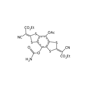 CCOC(=O)/C(C#N)=C1/Sc2c(OC(C)=O)c3c(c(OC(N)=O)c2S1)S/C(=C(\C#N)C(=O)OCC)S3